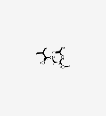 CO[C@@H](COC(=O)C(C)C)OC(C)=O